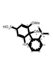 COC1=CC(S(=O)(=O)O)C=C(OC)C1(OC)c1ccccc1N(C)C